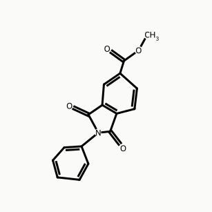 COC(=O)c1ccc2c(c1)C(=O)N(c1ccccc1)C2=O